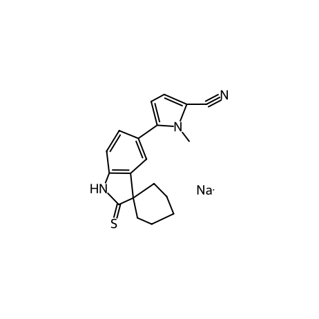 Cn1c(C#N)ccc1-c1ccc2c(c1)C1(CCCCC1)C(=S)N2.[Na]